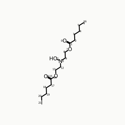 O=C(CCCCI)OCCN(O)CCOC(=O)CCCCI